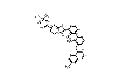 Cc1cnc2c(Nc3cccc(-c4cccc(-c5nc6c(s5)CN(C(=O)OC(C)(C)C)CC6)c4C)c3C)nccc2c1